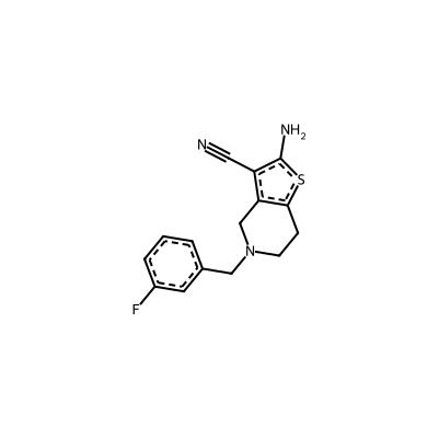 N#Cc1c(N)sc2c1CN(Cc1cccc(F)c1)CC2